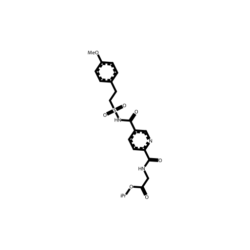 COc1ccc(CCS(=O)(=O)NC(=O)c2ccc(C(=O)NCC(=O)OC(C)C)nc2)cc1